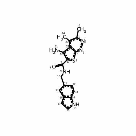 Cc1nnc2sc(C(=O)NCc3ccc4[nH]ccc4c3)c(N)c2c1C